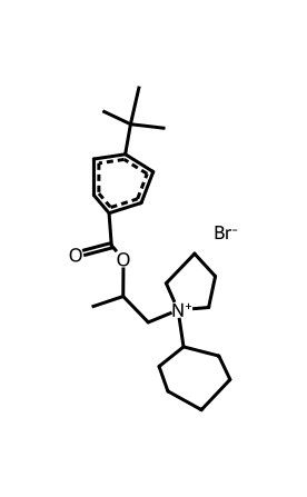 CC(C[N+]1(C2CCCCC2)CCCC1)OC(=O)c1ccc(C(C)(C)C)cc1.[Br-]